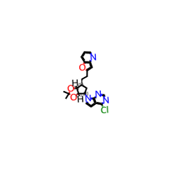 CC1(C)O[C@@H]2[C@@H](CCc3cc4ncccc4o3)C[C@@H](n3ccc4c(Cl)ncnc43)[C@@H]2O1